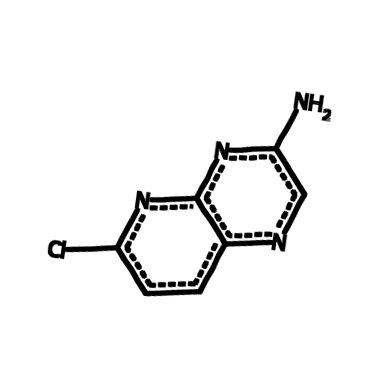 Nc1cnc2ccc(Cl)nc2n1